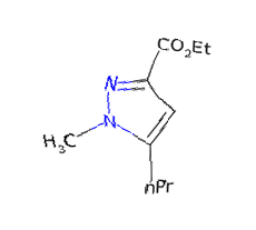 CCCc1cc(C(=O)OCC)nn1C